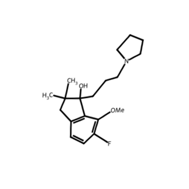 COc1c(F)ccc2c1C(O)(CCCN1CCCC1)C(C)(C)C2